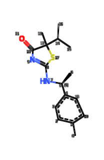 Cc1ccc([C@H](C)NC2=NC(=O)C(C)(C(C)C)S2)cc1